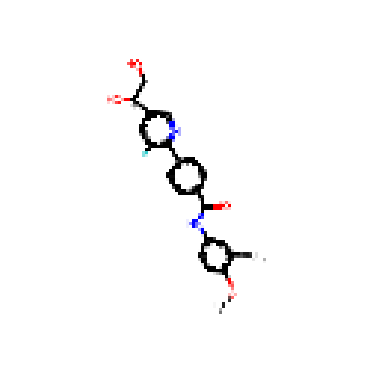 O=C(Nc1ccc(OC(F)(F)F)c(C(F)(F)F)c1)c1ccc(-c2ncc([C@@H](O)CO)cc2F)cc1